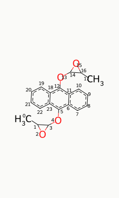 CC1OC1Oc1c2ccccc2c(OC2OC2C)c2ccccc12